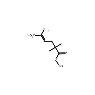 CC(C)(C)OC(=O)C(C)(C)CC=C(N)C(=O)O